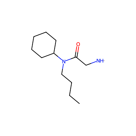 CCCCN(C(=O)C[NH])C1CCCCC1